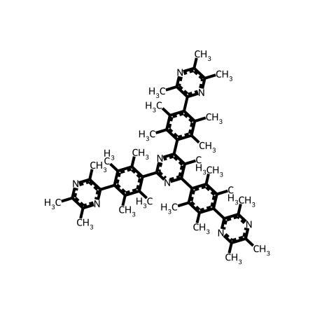 Cc1nc(C)c(-c2c(C)c(C)c(-c3nc(-c4c(C)c(C)c(-c5nc(C)c(C)nc5C)c(C)c4C)c(C)c(-c4c(C)c(C)c(-c5nc(C)c(C)nc5C)c(C)c4C)n3)c(C)c2C)nc1C